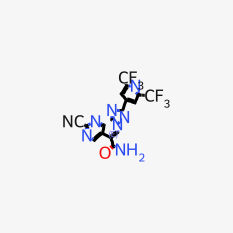 N#Cc1ncc(/C(=C\n2cnc(-c3cc(C(F)(F)F)nc(C(F)(F)F)c3)n2)C(N)=O)cn1